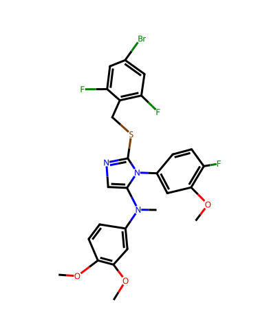 COc1cc(-n2c(N(C)c3ccc(OC)c(OC)c3)cnc2SCc2c(F)cc(Br)cc2F)ccc1F